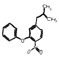 CC(C)Cc1ccc([N+](=O)[O-])c(Oc2ccccc2)c1